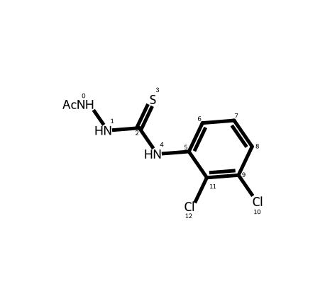 CC(=O)NNC(=S)Nc1cccc(Cl)c1Cl